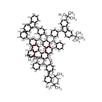 CC(C)(C)c1ccc2c(c1)c1cc(C(C)(C)C)ccc1n2-c1ccc2c(c1)N(c1ccccc1-c1ccccc1)c1cc(-c3cc4c5c(c3-c3ccccc3C(C)(C)C)Oc3ccccc3B5c3cc(-c5cccc6c5C(C)(C)CCC6(C)C)ccc3O4)cc3c1B2c1ccc(-n2c4ccccc4c4ccccc42)cc1N3c1cc(-c2ccccc2)cc(-c2ccccc2)c1